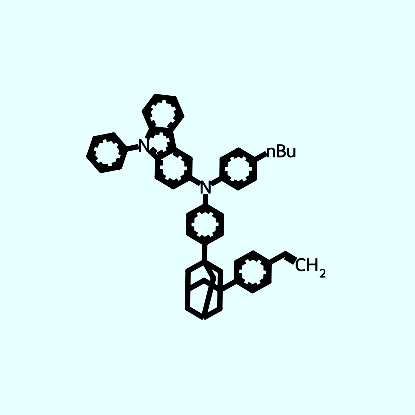 C=Cc1ccc(C23CC4CC(C2)CC(c2ccc(N(c5ccc(CCCC)cc5)c5ccc6c(c5)c5ccccc5n6-c5ccccc5)cc2)(C4)C3)cc1